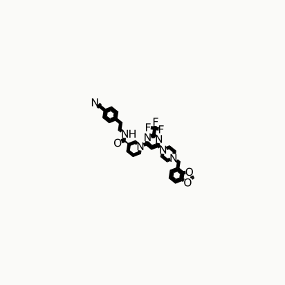 N#Cc1ccc(CCNC(=O)[C@@H]2CCCN(c3cc(N4CCN(Cc5cccc6c5OCO6)CC4)nc(C(F)(F)F)n3)C2)cc1